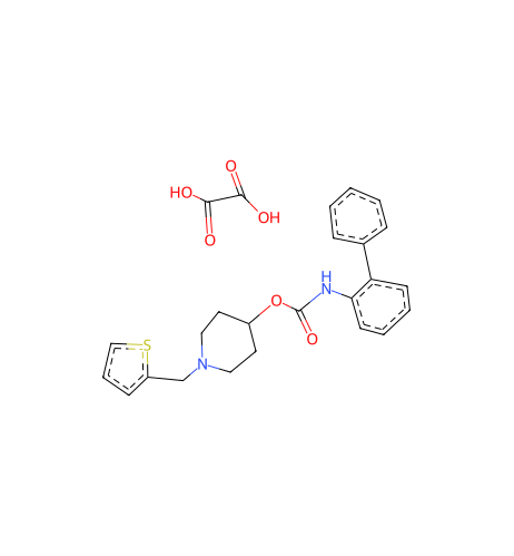 O=C(Nc1ccccc1-c1ccccc1)OC1CCN(Cc2cccs2)CC1.O=C(O)C(=O)O